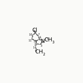 C=Cc1cn(C)c2cc(Cl)ccc12